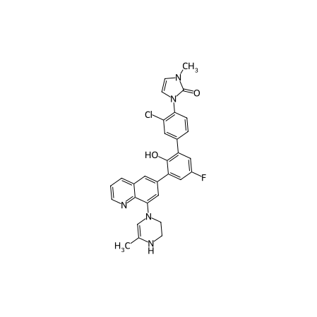 CC1=CN(c2cc(-c3cc(F)cc(-c4ccc(-n5ccn(C)c5=O)c(Cl)c4)c3O)cc3cccnc23)CCN1